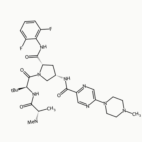 CN[C@@H](C)C(=O)N[C@H](C(=O)N1C[C@@H](NC(=O)c2cnc(N3CCN(C)CC3)cn2)C[C@H]1C(=O)Nc1c(F)cccc1F)C(C)(C)C